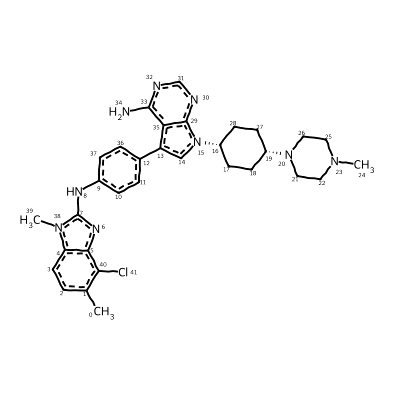 Cc1ccc2c(nc(Nc3ccc(-c4cn([C@H]5CC[C@@H](N6CCN(C)CC6)CC5)c5ncnc(N)c45)cc3)n2C)c1Cl